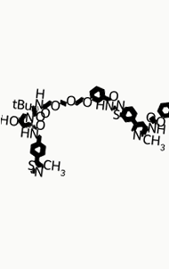 Cc1ncc(-c2ccc3nc(NC(=O)c4cccc(OCCOCCOCC(=O)N[C@H](C(=O)N5C[C@H](O)C[C@H]5C(=O)NCc5ccc(-c6scnc6C)cc5)C(C)(C)C)c4)sc3c2)cc1NC(=O)OC1CCCCC1